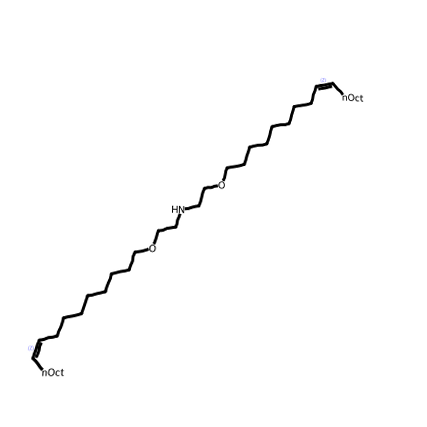 CCCCCCCC/C=C\CCCCCCCCOCCNCCOCCCCCCCC/C=C\CCCCCCCC